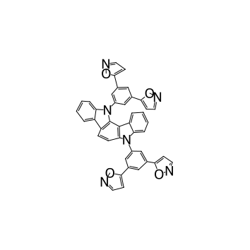 c1ccc2c(c1)c1c(ccc3c4ccccc4n(-c4cc(-c5ccno5)cc(-c5ccno5)c4)c31)n2-c1cc(-c2ccno2)cc(-c2ccno2)c1